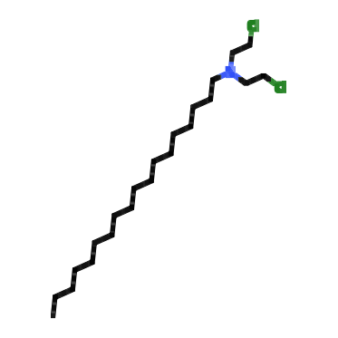 CCCCCCCCCCCCCCCCCCN(CCCl)CCCl